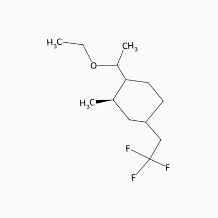 CCOC(C)C1CCC(CC(F)(F)F)C[C@H]1C